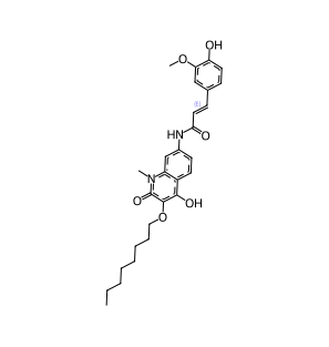 CCCCCCCCOc1c(O)c2ccc(NC(=O)/C=C/c3ccc(O)c(OC)c3)cc2n(C)c1=O